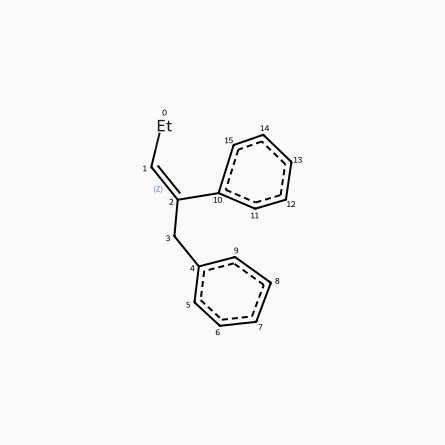 [CH2]C/C=C(/Cc1ccccc1)c1ccccc1